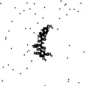 Cc1ccc(S(=O)(=O)NC(=O)NC[C@H](NC=O)C(=O)N[C@@H](CC(C)C)B(O)O)cc1